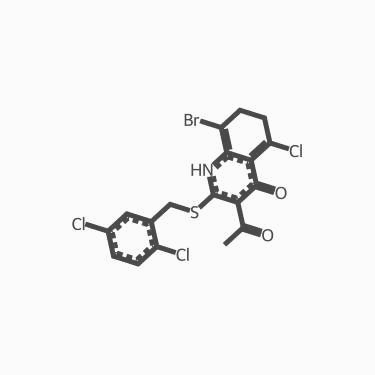 CC(=O)c1c(SCc2cc(Cl)ccc2Cl)[nH]c2c(c1=O)=C(Cl)CCC=2Br